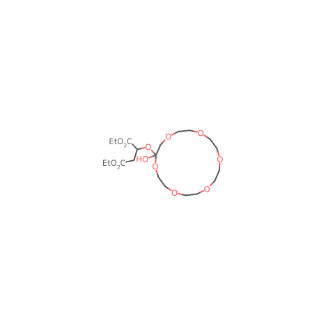 CCOC(=O)CC(OC1(O)COCCOCCOCCOCCOCCO1)C(=O)OCC